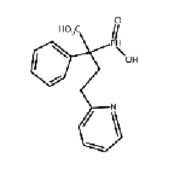 O=C(O)C(CCc1ccccn1)(c1ccccc1)[PH](=O)O